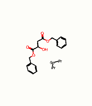 C[CH](C)[Sn][CH](C)C.O=C(CC(O)C(=O)OCc1ccccc1)OCc1ccccc1